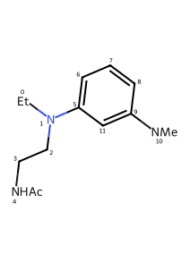 CCN(CCNC(C)=O)c1cccc(NC)c1